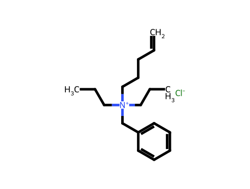 C=CCCC[N+](CCC)(CCC)Cc1ccccc1.[Cl-]